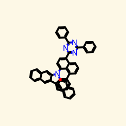 c1ccc(-c2nc(-c3ccccc3)nc(-c3ccc(-n4c5cc6ccccc6cc5c5cc6ccccc6cc54)c4c(-c5ccccc5)cccc34)n2)cc1